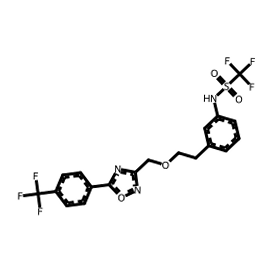 O=S(=O)(Nc1cccc(CCOCc2noc(-c3ccc(C(F)(F)F)cc3)n2)c1)C(F)(F)F